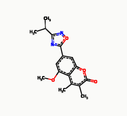 COc1cc(-c2nc(C(C)C)no2)cc2oc(=O)c(C)c(C)c12